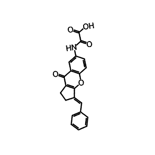 O=C(O)C(=O)Nc1ccc2oc3c(c(=O)c2c1)CCC3=Cc1ccccc1